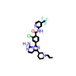 CC=CN1CCCC(c2nc(-c3ccc(C(=O)Nc4cc(C(F)(F)F)ccn4)c(Cl)c3)n3c(N)nccc23)C1